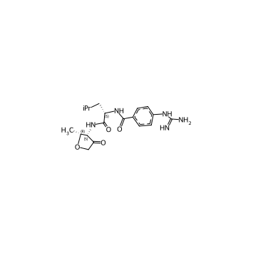 CC(C)C[C@H](NC(=O)c1ccc(NC(=N)N)cc1)C(=O)N[C@@H]1C(=O)CO[C@@H]1C